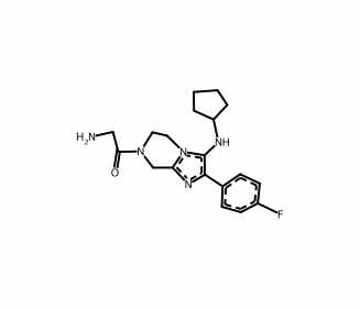 NCC(=O)N1CCn2c(nc(-c3ccc(F)cc3)c2NC2CCCC2)C1